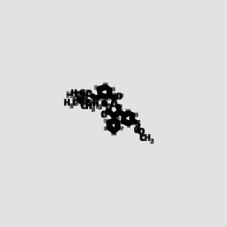 COOSc1ccc(/C(COC(=O)c2cccc(CO[Si](C)(C)C(C)(C)C)c2)=C(/C(=O)OC)c2ccccc2)cc1